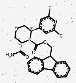 NC(=O)[C@@H]1COC[C@@H](c2cc(Cl)nc(Cl)c2)N1C(=O)OCC1c2ccccc2-c2ccccc21